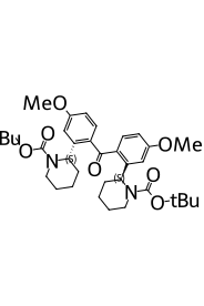 COc1ccc(C(=O)c2ccc(OC)cc2[C@@H]2CCCCN2C(=O)OC(C)(C)C)c([C@@H]2CCCCN2C(=O)OC(C)(C)C)c1